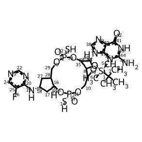 CC(C)(C)[Si](C)(C)OC1C2COP(=O)(S)O[C@H]3C[C@H](Nc4ncncc4F)CC3COP(=O)(S)O[C@H]1[C@H](n1cnc3c(=O)[nH]c(N)nc31)O2